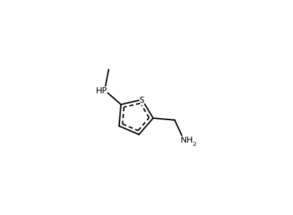 CPc1ccc(CN)s1